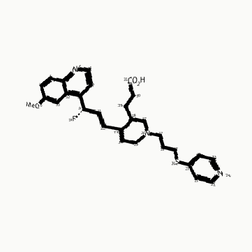 COc1ccc2nccc([C@@H](F)CCC3CCN(CCCSc4ccncc4)CC3CCC(=O)O)c2c1